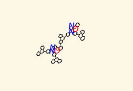 c1ccc2c(c1)cc(-c1ccc(N(c3ccc(-c4cc5ccccc5c5ccccc45)cc3)c3nccc4c3oc3cccc(-c5ccc6c(c5)cc(-c5ccc(N(c7ccc(-c8cc9ccccc9c9ccccc89)cc7)c7ccnc8c7oc7ccccc78)cc5)c5ccccc56)c34)cc1)c1ccccc12